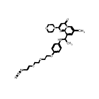 Cc1cc(C(C)Nc2ccc(OCCOCCOCCN=[N+]=[N-])cc2)c2nc(N3CCOCC3)cc(=O)n2c1